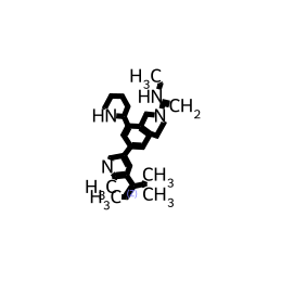 C=C(NCC)N1CCc2cc(-c3cnc(C)c(/C(=C\C)C(C)C)c3)cc(C3CCCCN3)c2C1